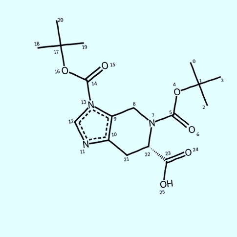 CC(C)(C)OC(=O)N1Cc2c(ncn2C(=O)OC(C)(C)C)C[C@H]1C(=O)O